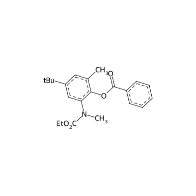 CCOC(=O)N(C)c1cc(C(C)(C)C)cc(C)c1OC(=O)c1ccccc1